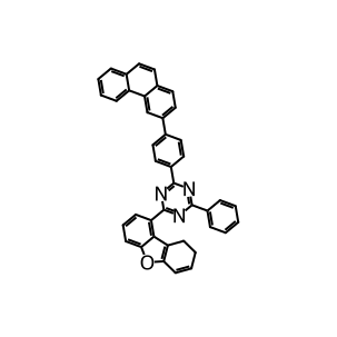 C1=Cc2oc3cccc(-c4nc(-c5ccccc5)nc(-c5ccc(-c6ccc7ccc8ccccc8c7c6)cc5)n4)c3c2CC1